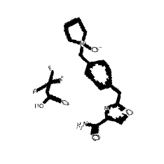 NC(=O)c1coc(Cc2ccc(C[N+]3([O-])CCCC3)cc2)n1.O=C(O)C(F)(F)F